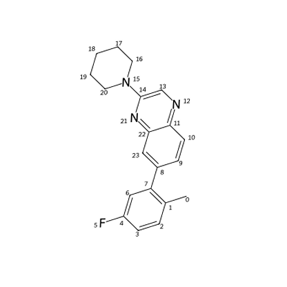 Cc1ccc(F)cc1-c1ccc2ncc(N3CCCCC3)nc2c1